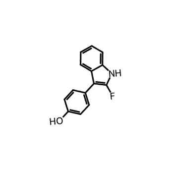 Oc1ccc(-c2c(F)[nH]c3ccccc23)cc1